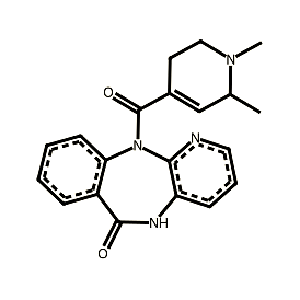 CC1C=C(C(=O)N2c3ccccc3C(=O)Nc3cccnc32)CCN1C